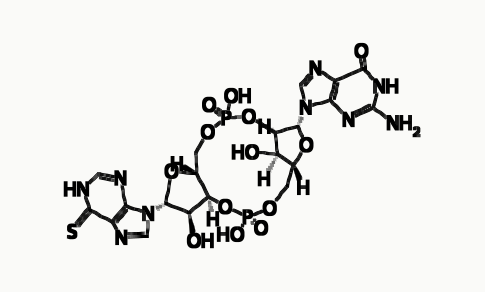 Nc1nc2c(ncn2[C@@H]2O[C@@H]3COP(=O)(O)O[C@H]4[C@@H](O)[C@H](n5cnc6c(=S)[nH]cnc65)O[C@@H]4COP(=O)(O)O[C@@H]2[C@@H]3O)c(=O)[nH]1